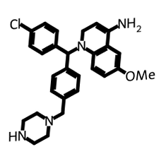 COc1ccc2c(c1)C(N)=CCN2C(c1ccc(Cl)cc1)c1ccc(CN2CCNCC2)cc1